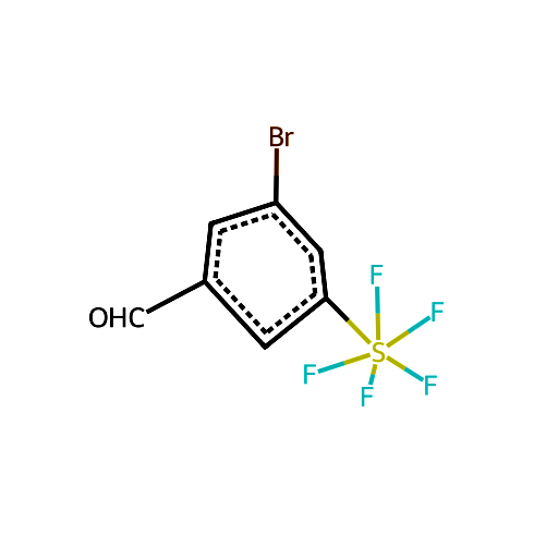 O=Cc1cc(Br)cc(S(F)(F)(F)(F)F)c1